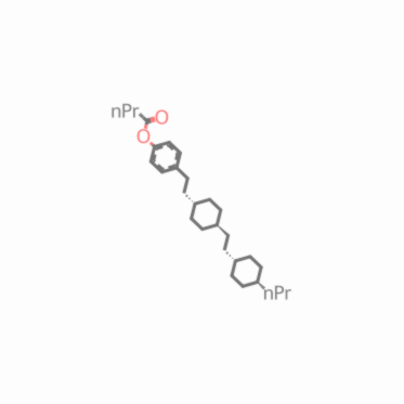 CCCC(=O)Oc1ccc(CC[C@H]2CC[C@H](CC[C@H]3CC[C@H](CCC)CC3)CC2)cc1